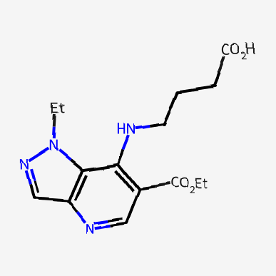 CCOC(=O)c1cnc2cnn(CC)c2c1NCCCC(=O)O